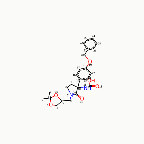 CC1(C)OCC(CN2CCC(NC(=O)O)(c3ccc(OCc4ccccc4)cc3)C2=O)O1